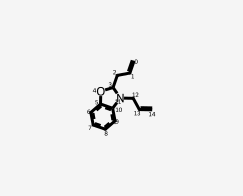 C=CCC1Oc2ccc[c]c2N1CC=C